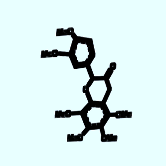 COc1ccc(C2Oc3c(c(OC)c(OC)c(OC)c3OC)CC2=O)cc1OC